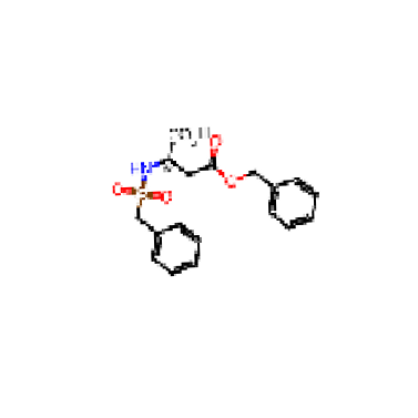 O=C(C[C@@H](NS(=O)(=O)Cc1ccccc1)C(=O)O)OCc1ccccc1